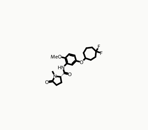 COc1ccc(OC2CCCC(F)(F)CC2)cc1NC(=O)[C@@H]1CCC(=O)N1C